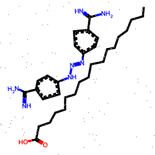 CCCCCCCCCCCCCCCCCC(=O)O.N=C(N)c1ccc(/N=N/Nc2ccc(C(=N)N)cc2)cc1